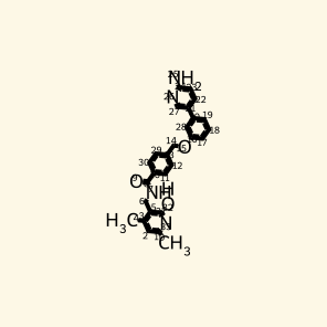 Cc1cc(C)c(CNC(=O)c2ccc(COc3cccc(-c4ccc(N)nc4)c3)cc2)c(O)n1